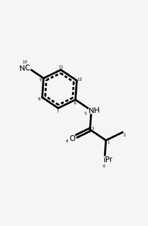 CC(C)C(C)C(=O)Nc1ccc(C#N)cc1